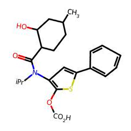 CC1CCC(C(=O)N(c2cc(-c3ccccc3)sc2OC(=O)O)C(C)C)C(O)C1